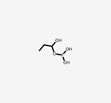 CCC(O)OP(O)O